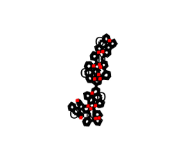 c1ccc(-c2ccccc2N(c2ccc3c(c2)C2(c4ccccc4Oc4ccccc42)c2ccccc2-3)c2ccccc2-c2ccc3c(c2)C2(c4ccccc4Oc4cc(-c5ccc6sc7c(-c8ccc(N(c9ccc%10c(c9)C9(c%11ccccc%11Oc%11ccccc%119)c9ccccc9-%10)c9ccccc9-c9ccc%10c(c9)C9(c%11ccccc%11Oc%11ccccc%119)c9ccccc9-%10)cc8)cccc7c6c5)ccc42)c2ccccc2-3)cc1